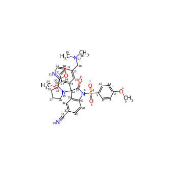 COc1ccc(S(=O)(=O)N2C(=O)C(c3cc(CN(C)C)ccc3OC)(N3CCC[C@H]3c3ncco3)c3cc(C#N)ccc32)cc1